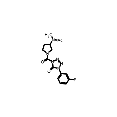 CC(=O)N(C)C1CCN(C(=O)n2nnn(-c3cccc(F)c3)c2=O)C1